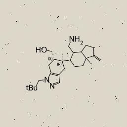 C=C1CCC2C(CN)C([C@@]3(C)Cc4cnn(CC(C)(C)C)c4C[C@@H]3CO)CCC12C